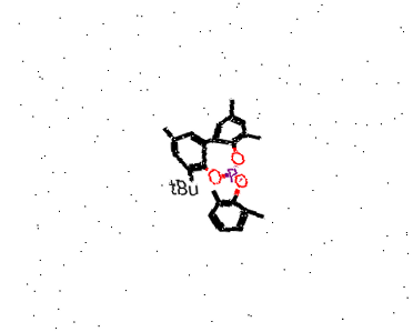 Cc1cc(C)c2op(Oc3c(C)cccc3C)oc3c(C(C)(C)C)cc(C)cc3c2c1